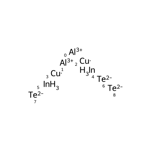 [Al+3].[Al+3].[Cu].[Cu].[InH3].[InH3].[Te-2].[Te-2].[Te-2]